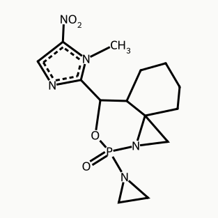 Cn1c([N+](=O)[O-])cnc1C1OP(=O)(N2CC2)N2CC23CCCCC13